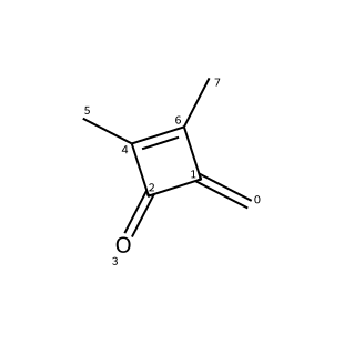 C=C1C(=O)C(C)=C1C